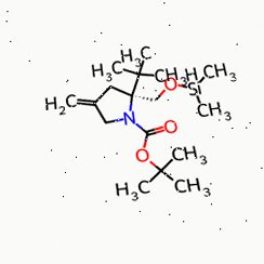 C=C1CN(C(=O)OC(C)(C)C)[C@](CO[SiH](C)C)(C(C)(C)C)C1